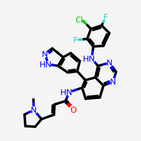 CN1CCCC1/C=C/C(=O)Nc1ccc2ncnc(Nc3ccc(F)c(Cl)c3F)c2c1-c1ccc2cn[nH]c2c1